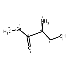 C[Se]C(=O)[C@@H](N)CS